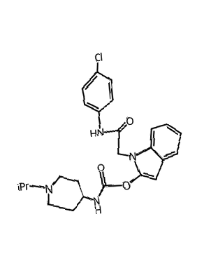 CC(C)N1CCC(NC(=O)Oc2cc3ccccc3n2CC(=O)Nc2ccc(Cl)cc2)CC1